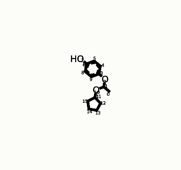 CC(Oc1ccc(O)cc1)OC1CCCC1